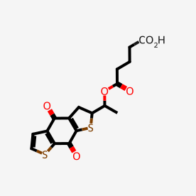 CC(OC(=O)CCCC(=O)O)C1CC2=C(S1)C(=O)c1sccc1C2=O